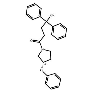 N#CC(CCC(=O)N1CC[C@H](Oc2ccccc2)C1)(c1ccccc1)c1ccccc1